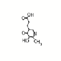 CC1=C(O)C(=O)C(CCC(=O)O)C=N1